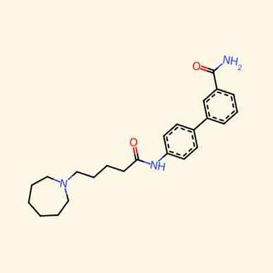 NC(=O)c1cccc(-c2ccc(NC(=O)CCCCN3CCCCCC3)cc2)c1